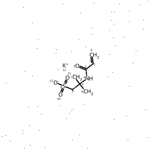 C=CC(=O)NC(C)(C)CS(=O)(=O)[O-].[K+]